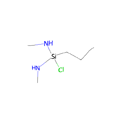 CCC[Si](Cl)(NC)NC